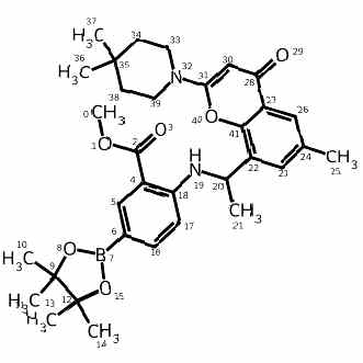 COC(=O)c1cc(B2OC(C)(C)C(C)(C)O2)ccc1NC(C)c1cc(C)cc2c(=O)cc(N3CCC(C)(C)CC3)oc12